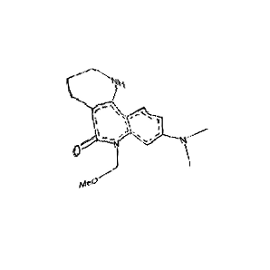 COCn1c(=O)c2c(c3ccc(N(C)C)cc31)NCCC2